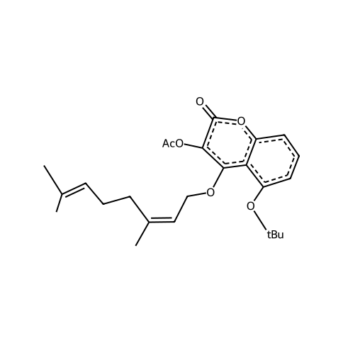 CC(=O)Oc1c(OCC=C(C)CCC=C(C)C)c2c(OC(C)(C)C)cccc2oc1=O